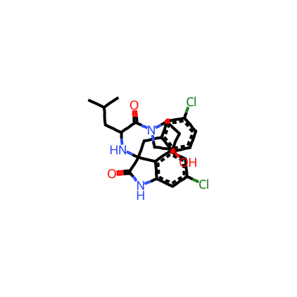 CC(C)CC(NC1(Cc2cccc(Cl)c2)C(=O)Nc2cc(Cl)ccc21)C(=O)N1CCC(O)C1